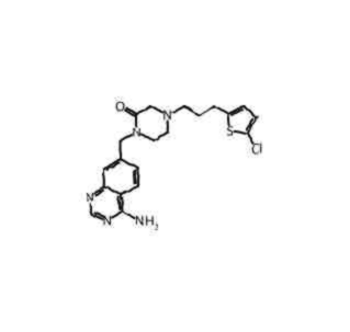 Nc1ncnc2cc(CN3CCN(CCCc4ccc(Cl)s4)CC3=O)ccc12